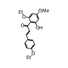 CCOc1ccc(/C=C/C(=O)c2c(O)cc(OC)cc2OCC)cc1